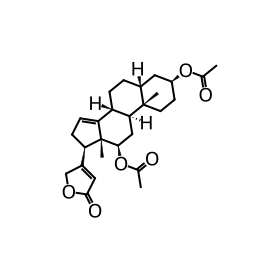 CC(=O)O[C@H]1CC[C@@]2(C)[C@H](CC[C@H]3C4=CC[C@H](C5=CC(=O)OC5)[C@@]4(C)[C@H](OC(C)=O)C[C@@H]32)C1